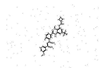 COc1cncc(/C(N)=C/N(N)c2cc(C(=O)Nc3cc(C(F)(F)F)cc(CNC4CCC4)c3OC)ccc2C)c1